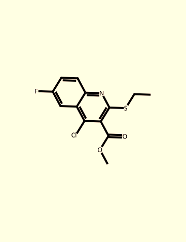 CCSc1nc2ccc(F)cc2c(Cl)c1C(=O)OC